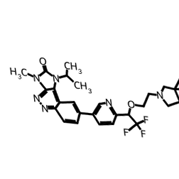 CC(C)n1c(=O)n(C)c2nnc3ccc(-c4ccc(C(OCCN5CCC6(CC6)C5)C(F)(F)F)nc4)cc3c21